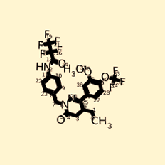 CCC1CC(=O)N(Cc2ccc(NC(=O)C(F)(F)C(F)(F)F)cc2)N=C1c1ccc(OC(F)(F)F)c(OC)c1